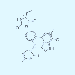 CC[C@@H]1NC(=O)N(c2ccc(Oc3ccc(F)cc3F)c(-c3cn(C)c(=O)c4[nH]ccc34)c2)C1=O